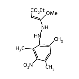 CCOC(=O)C=C(NNc1c(C)cc(C)c([N+](=O)[O-])c1C)OC